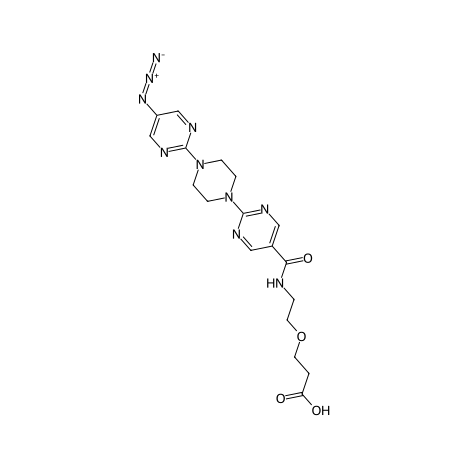 [N-]=[N+]=Nc1cnc(N2CCN(c3ncc(C(=O)NCCOCCC(=O)O)cn3)CC2)nc1